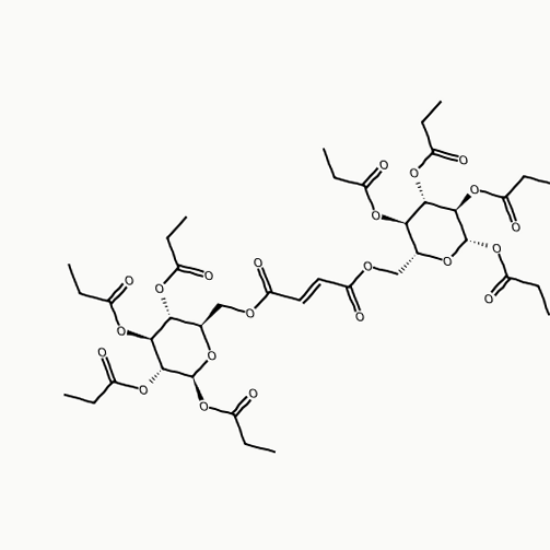 CCC(=O)O[C@@H]1O[C@H](COC(=O)/C=C/C(=O)OC[C@H]2O[C@@H](OC(=O)CC)[C@H](OC(=O)CC)[C@@H](OC(=O)CC)[C@@H]2OC(=O)CC)[C@@H](OC(=O)CC)[C@H](OC(=O)CC)[C@H]1OC(=O)CC